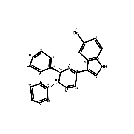 Brc1ccc2[nH]cc(C3=N[C@H](c4ccccc4)[C@@H](c4ccccc4)N=C3)c2c1